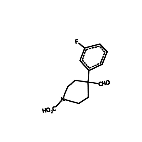 O=CC1(c2cccc(F)c2)CCN(C(=O)O)CC1